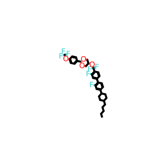 CCCCCC1CCC(c2ccc(-c3ccc(C(F)(F)OC4COC(c5ccc(OC(F)(F)F)cc5)OC4)c(F)c3)c(F)c2)CC1